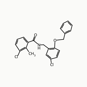 Cc1c(Cl)cccc1C(=O)NCc1cc(Cl)ccc1OCc1ccccc1